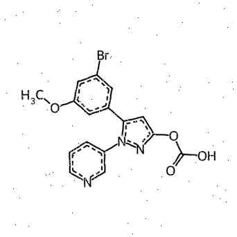 COc1cc(Br)cc(-c2cc(OC(=O)O)nn2-c2cccnc2)c1